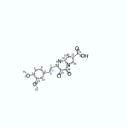 COc1ccc(/C=C/c2nc3sc(C(=O)O)cn3c(=O)c2Cl)cc1OC